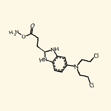 NOC(=O)CCC1Nc2ccc(N(CCCl)CCCl)cc2N1